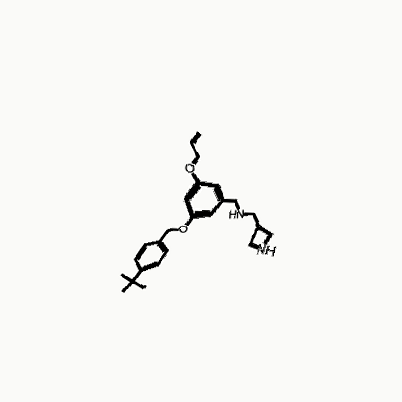 C=CCOc1cc(CNCC2CNC2)cc(OCc2ccc(C(C)(C)C)cc2)c1